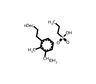 CCCCCCCCCCCCc1cccc(C)c1C.CCCS(=O)(=O)O.O